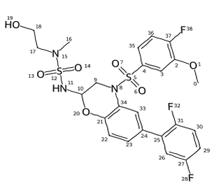 COc1cc(S(=O)(=O)N2CC(NS(=O)(=O)N(C)CCO)Oc3ccc(-c4cc(F)ccc4F)cc32)ccc1F